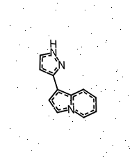 c1ccn2ccc(-c3cc[nH]n3)c2c1